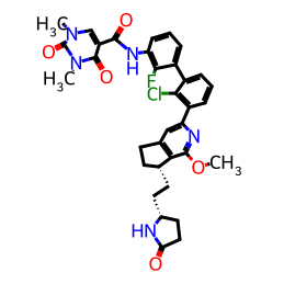 COc1nc(-c2cccc(-c3cccc(NC(=O)c4cn(C)c(=O)n(C)c4=O)c3F)c2Cl)cc2c1[C@H](CC[C@@H]1CCC(=O)N1)CC2